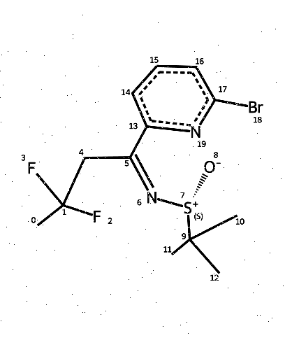 CC(F)(F)CC(=N[S@+]([O-])C(C)(C)C)c1cccc(Br)n1